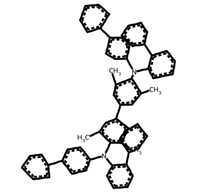 Cc1cc(-c2cc(C)c(N(c3ccc(-c4ccccc4)cc3)c3ccccc3-c3ccccc3)c(C)c2)cc(C)c1N(c1ccc(-c2ccccc2)cc1)c1ccccc1-c1ccccc1